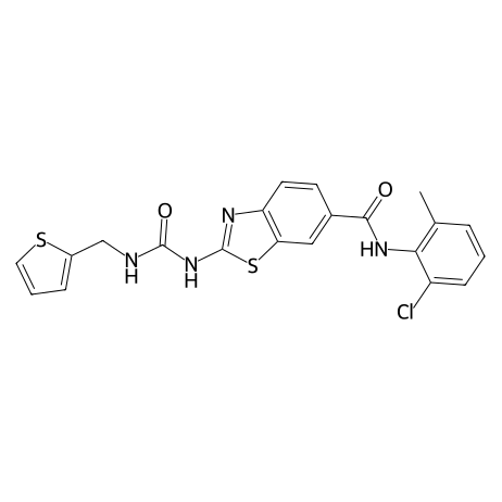 Cc1cccc(Cl)c1NC(=O)c1ccc2nc(NC(=O)NCc3cccs3)sc2c1